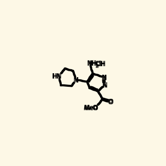 COC(=O)c1cc(N2CCNCC2)c(N)nn1.Cl